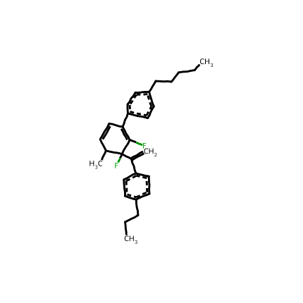 C=C(c1ccc(CCC)cc1)C1(F)C(F)=C(c2ccc(CCCCC)cc2)C=CC1C